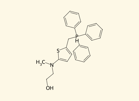 CN(CCO)c1ccc(C[PH](c2ccccc2)(c2ccccc2)c2ccccc2)s1